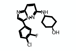 O[C@H]1CC[C@H](Nc2ccc3ncc(-c4ccc(Cl)c(F)c4)n3n2)CC1